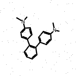 CN(C)c1ccc(-c2[c]cccc2-c2ccc(N(C)C)cc2)cc1